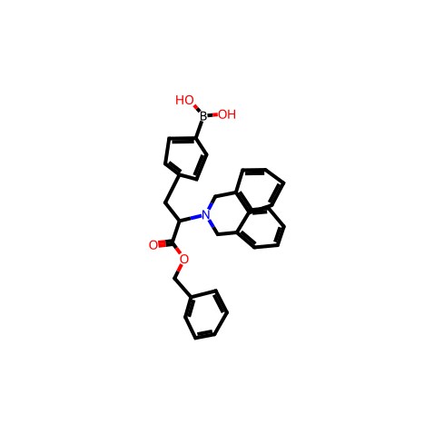 O=C(OCc1ccccc1)C(Cc1ccc(B(O)O)cc1)N(Cc1ccccc1)Cc1ccccc1